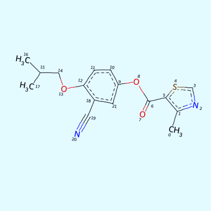 Cc1ncsc1C(=O)Oc1ccc(OCC(C)C)c(C#N)c1